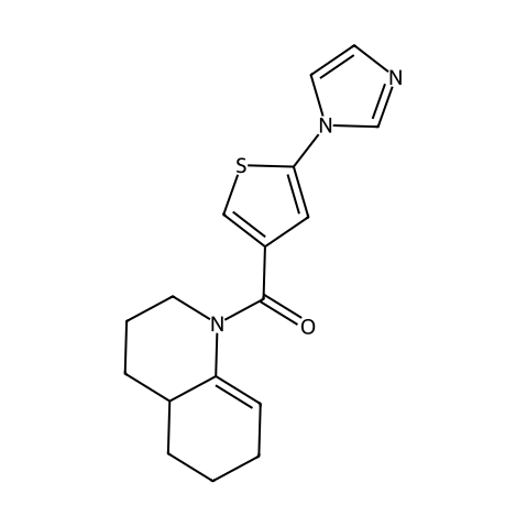 O=C(c1csc(-n2ccnc2)c1)N1CCCC2CCCC=C21